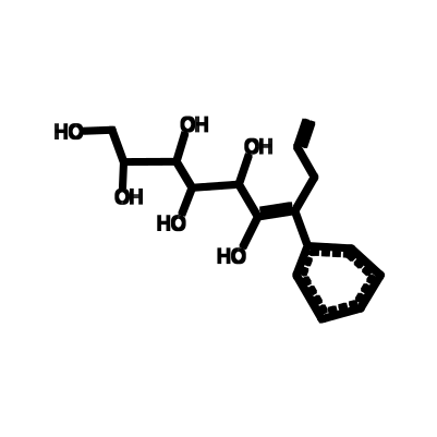 C=CCC(=C(O)C(O)C(O)C(O)C(O)CO)c1ccccc1